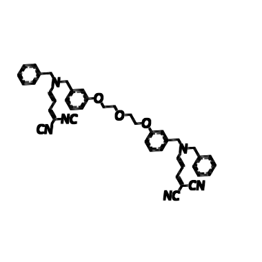 [C-]#[N+]C(=C/C=C/N(Cc1ccccc1)Cc1cccc(OCCOCCOc2cccc(CN(/C=C/C=C(C#N)C#N)Cc3ccccc3)c2)c1)[N+]#[C-]